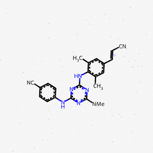 CNc1nc(Nc2ccc(C#N)cc2)nc(Nc2c(C)cc(/C=C/C#N)cc2C)n1